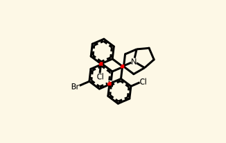 Clc1ccccc1C(c1ccccc1Cl)N1C2CCC1CC(c1ccc(Br)cn1)C2